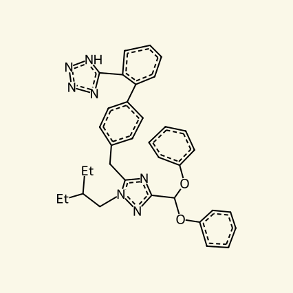 CCC(CC)Cn1nc(C(Oc2ccccc2)Oc2ccccc2)nc1Cc1ccc(-c2ccccc2-c2nnn[nH]2)cc1